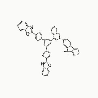 CC1(C)c2ccccc2-c2ccc(-c3cc(-c4cc(-c5ccc(-c6nc7ccccc7o6)cc5)cc(-c5ccc(-c6nc7ccccc7o6)cc5)c4)c4ccccc4c3)cc21